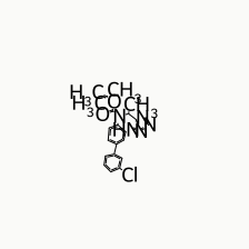 CC(c1nnn[nH]1)N(C(=O)OC(C)(C)C)c1ccc(-c2cccc(Cl)c2)cc1